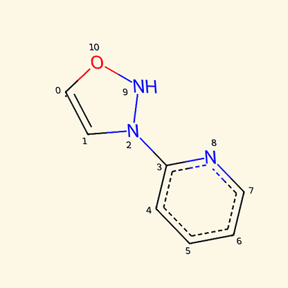 [C]1=CN(c2ccccn2)NO1